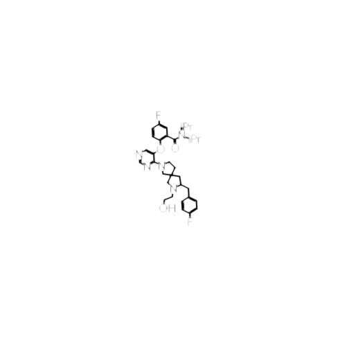 CC(C)N(C(=O)c1cc(F)ccc1Oc1cncnc1N1CCC2(CC(Cc3ccc(F)cc3)N(CCO)C2)C1)C(C)C